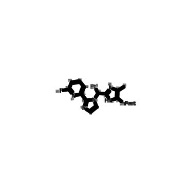 CCCCCc1[nH]c(C(CC)n2ccnc2-c2cccc(F)n2)nc1C